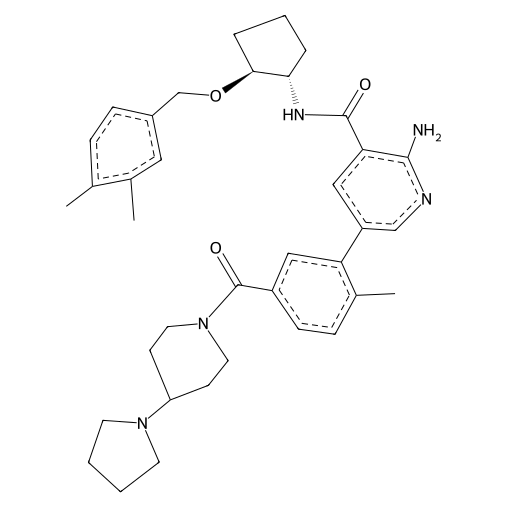 Cc1ccc(CO[C@H]2CCC[C@@H]2NC(=O)c2cc(-c3cc(C(=O)N4CCC(N5CCCC5)CC4)ccc3C)cnc2N)cc1C